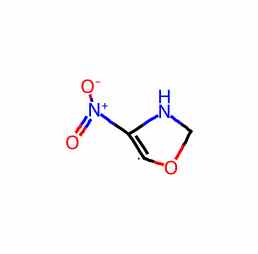 O=[N+]([O-])C1=[C]OCN1